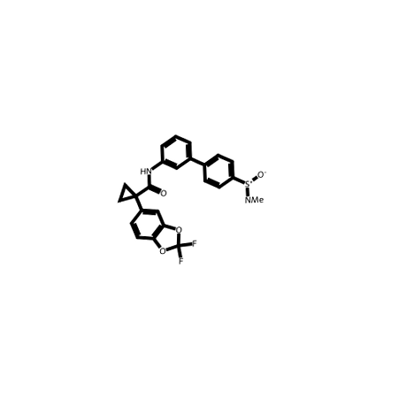 CN[S+]([O-])c1ccc(-c2cccc(NC(=O)C3(c4ccc5c(c4)OC(F)(F)O5)CC3)c2)cc1